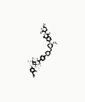 C[C@@H]1CN(CC2CCN(c3ccc(C(=O)N[C@H]4C(C)(C)[C@H](Oc5ccc(C#N)c(Cl)c5)C4(C)C)cc3)CC2)CCN1c1ccc2c(=O)n(C3CCC(O)NC3=O)ncc2c1